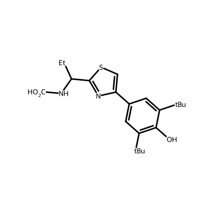 CCC(NC(=O)O)c1nc(-c2cc(C(C)(C)C)c(O)c(C(C)(C)C)c2)cs1